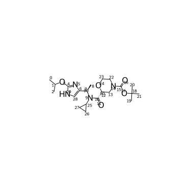 CC(C)Oc1nc([C@@H](C)N(C(=O)[C@H]2CN(C(=O)OC(C)(C)C)CCO2)C2CC2)c[nH]1